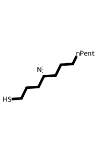 CCCCCCCCCCCCS.[N]